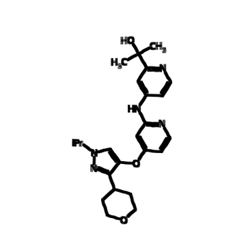 CC(C)n1cc(Oc2ccnc(Nc3ccnc(C(C)(C)O)c3)c2)c(C2CCOCC2)n1